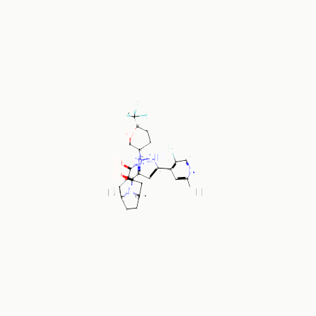 Cc1cc(-c2cc(C(=O)N3[C@@H]4CC[C@H]3CC(C(=O)N[C@@H]3CC[C@H](C(F)(F)F)OC3)C4)n[nH]2)c(F)cn1